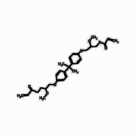 C=CC(=O)CCC(COc1ccc(C(C)(C)c2ccc(OCC(COC(=O)C=C)OC)cc2)cc1)OC